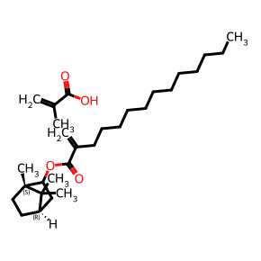 C=C(C)C(=O)O.C=C(CCCCCCCCCCCC)C(=O)OC1C[C@H]2CC[C@@]1(C)C2(C)C